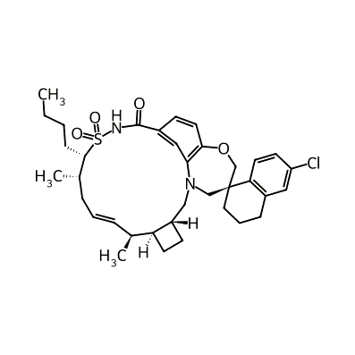 CCCC[C@H]1[C@@H](C)C/C=C/[C@H](C)[C@@H]2CC[C@H]2CN2C[C@@]3(CCCc4cc(Cl)ccc43)COc3ccc(cc32)C(=O)NS1(=O)=O